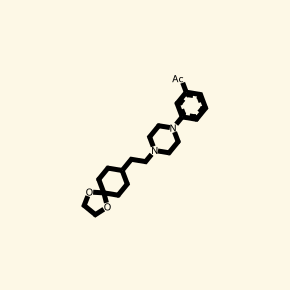 CC(=O)c1cccc(N2CCN(CCC3CCC4(CC3)OCCO4)CC2)c1